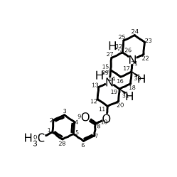 Cc1cccc(/C=C\C(=O)OC2CCN3[C@@H]4C[C@@H](C[C@@H]3C2)N2CCCC[C@@H]2C4)c1